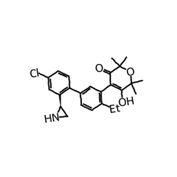 CCc1ccc(-c2ccc(Cl)cc2[C@H]2CN2)cc1C1=C(O)C(C)(C)OC(C)(C)C1=O